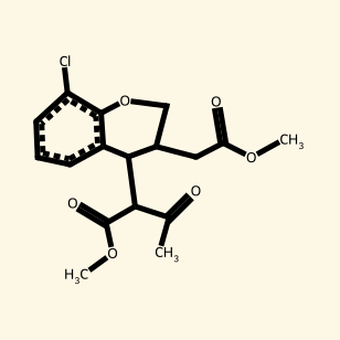 COC(=O)CC1COc2c(Cl)cccc2C1C(C(C)=O)C(=O)OC